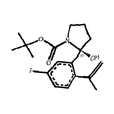 C=C(C)c1ccc(F)cc1[C@@]1(O)CCCN1C(=O)OC(C)(C)C